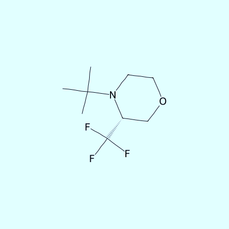 CC(C)(C)N1CCOC[C@@H]1C(F)(F)F